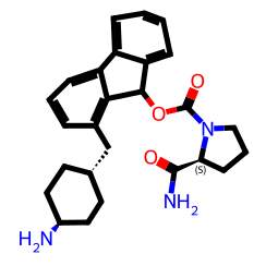 NC(=O)[C@@H]1CCCN1C(=O)OC1c2ccccc2-c2cccc(C[C@H]3CC[C@H](N)CC3)c21